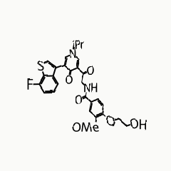 COc1cc(C(=O)NCC(=O)c2cn(C(C)C)cc(-c3csc4c(F)cccc34)c2=O)ccc1OCCO